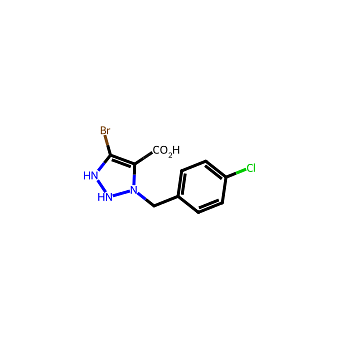 O=C(O)C1=C(Br)NNN1Cc1ccc(Cl)cc1